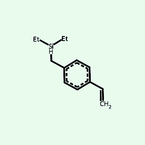 C=Cc1ccc(C[SiH](CC)CC)cc1